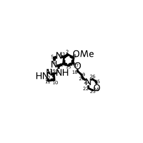 COc1cc2ncnc(Nc3cc[nH]n3)c2cc1OCCCN1CCOCC1